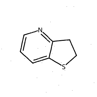 c1cnc2c(c1)SCC2